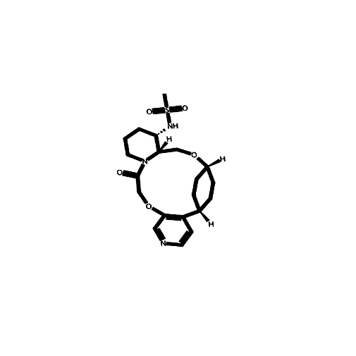 CS(=O)(=O)N[C@H]1CCCN2C(=O)COc3cnccc3[C@H]3CC[C@H](CC3)OC[C@@H]12